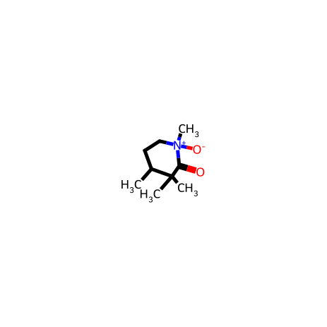 CC1CC[N+](C)([O-])C(=O)C1(C)C